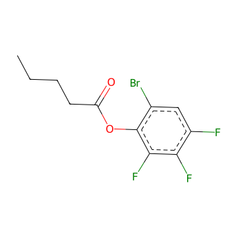 CCCCC(=O)Oc1c(Br)cc(F)c(F)c1F